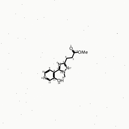 COC(=O)CCc1nc(-c2ccncc2O)n(C)n1